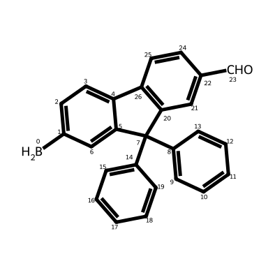 Bc1ccc2c(c1)C(c1ccccc1)(c1ccccc1)c1cc(C=O)ccc1-2